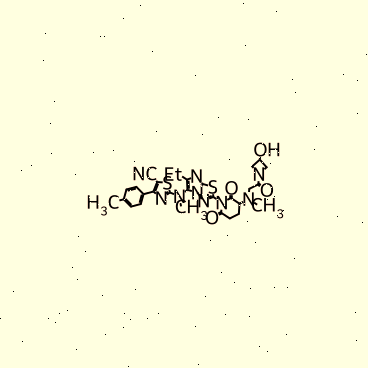 CCc1nc2sc(N3C(=O)CCC(N(C)CC(=O)N4CC(O)C4)C3=O)nn2c1N(C)c1nc(-c2ccc(C)cc2)c(C#N)s1